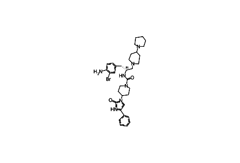 Nc1ccc(C[C@H](CN2CCC(N3CCCCC3)CC2)NC(=O)N2CCC(n3cc(-c4ccccc4)[nH]c3=O)CC2)cc1Br